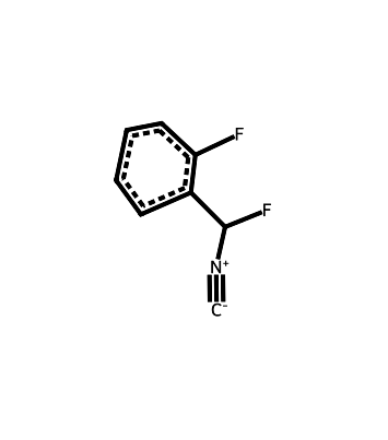 [C-]#[N+]C(F)c1ccccc1F